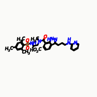 Cc1cc(C)c(S(=O)(=O)NC(CN(C)C(=O)c2cccc3c(CCCNc4ccccn4)n[nH]c23)C(=O)O)c(C)c1